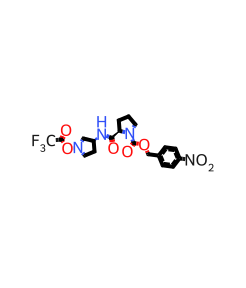 O=C(N[C@H]1CCN(OC(=O)C(F)(F)F)C1)[C@H]1CCCN1C(=O)OCc1ccc([N+](=O)[O-])cc1